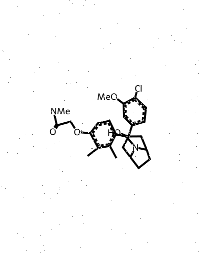 CNC(=O)COc1ccc(CN2C3CCC2CC(O)(c2ccc(Cl)c(OC)c2)C3)c(C)c1C